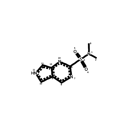 CN(C)S(=O)(=O)c1ncc2c[nH]cc2n1